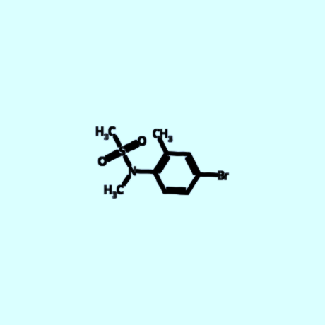 Cc1cc(Br)ccc1N(C)S(C)(=O)=O